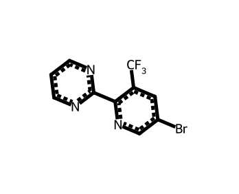 FC(F)(F)c1cc(Br)cnc1-c1ncccn1